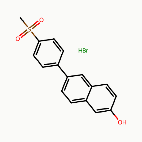 Br.CS(=O)(=O)c1ccc(-c2ccc3cc(O)ccc3c2)cc1